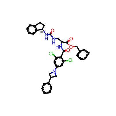 O=C(NCC(NC(=O)c1c(Cl)cc(N2CC(c3ccccc3)C2)cc1Cl)C(=O)OCc1ccccc1)N[C@@H]1CCc2ccccc21